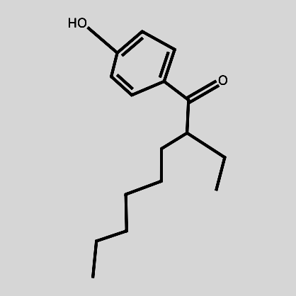 CCCCCCC(CC)C(=O)c1ccc(O)cc1